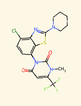 Cn1c(C(F)(F)F)cc(=O)n(-c2ccc(Cl)c3nc(N4CCCCC4)sc23)c1=O